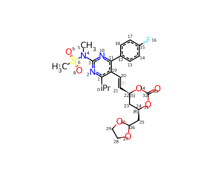 CC(C)c1nc(N(C)S(C)(=O)=O)nc(-c2ccc(F)cc2)c1/C=C/[C@@H]1C[C@H](CC2OCCO2)OC(=O)O1